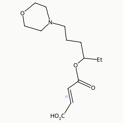 CCC(CCCN1CCOCC1)OC(=O)/C=C/C(=O)O